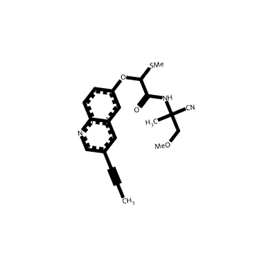 CC#Cc1cnc2ccc(OC(SC)C(=O)NC(C)(C#N)COC)cc2c1